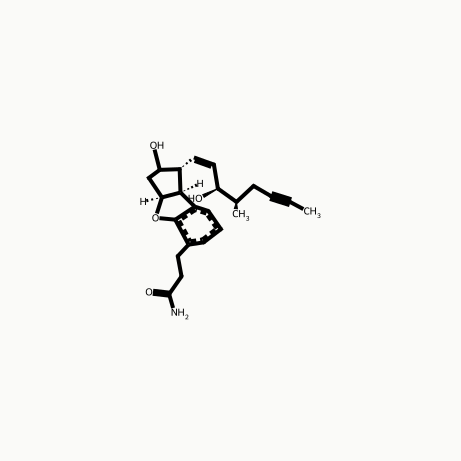 CC#CC[C@@H](C)[C@@H](O)/C=C\[C@H]1C(O)C[C@@H]2Oc3c(CCC(N)=O)cccc3[C@@H]21